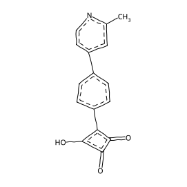 Cc1cc(-c2ccc(-c3c(O)c(=O)c3=O)cc2)ccn1